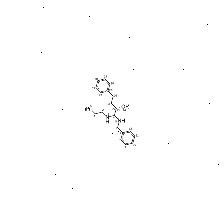 CC(C)CCNC(NCc1ccccc1)[C@@H](O)CCc1ccccc1